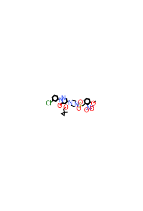 COc1cccc(CS(=O)(=O)N2CCN(c3cnn(-c4cccc(Cl)c4)c(=O)c3OCC3(C)CC3)CC2)c1[N+](=O)[O-]